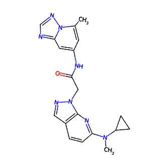 Cc1cc(NC(=O)Cn2ncc3ccc(N(C)C4CC4)nc32)cc2ncnn12